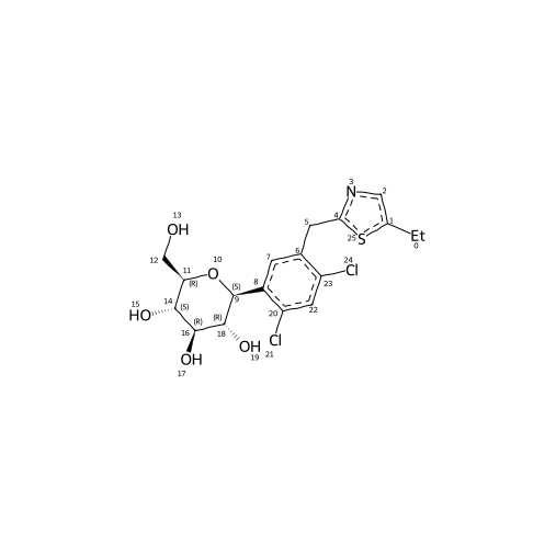 CCc1cnc(Cc2cc([C@@H]3O[C@H](CO)[C@@H](O)[C@H](O)[C@H]3O)c(Cl)cc2Cl)s1